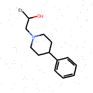 CCC(O)CN1CCC(c2ccccc2)CC1